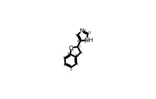 c1ccc2c(c1)CC(c1cnc[nH]1)O2